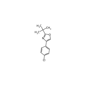 CC(C)(C)c1nc(-c2ccc(Cl)cc2)co1